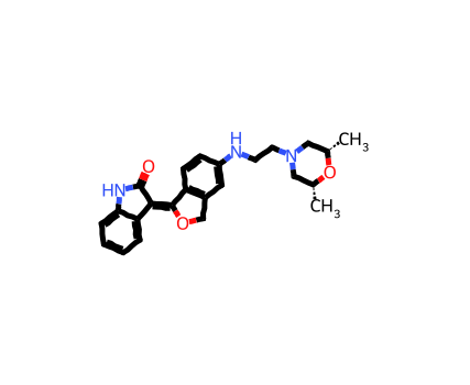 C[C@@H]1CN(CCNc2ccc3c(c2)CO/C3=C2/C(=O)Nc3ccccc32)C[C@H](C)O1